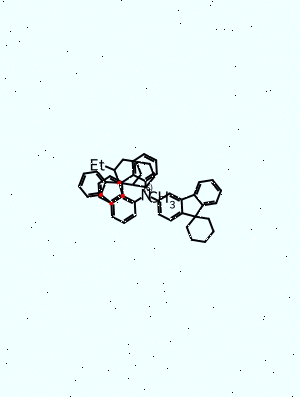 CCC1CC2CC[C@H](C)C(C2)C12c1ccccc1-c1cccc(N(c3ccc4c(c3)-c3ccccc3C43CCCCC3)c3ccccc3-c3ccccc3)c12